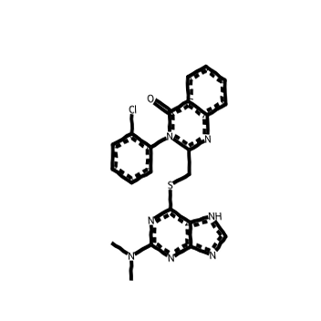 CN(C)c1nc(SCc2nc3ccccc3c(=O)n2-c2ccccc2Cl)c2[nH]cnc2n1